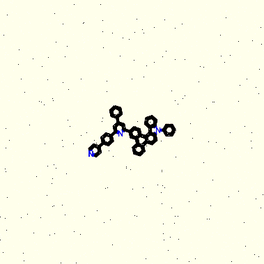 c1ccc(-c2cc(-c3ccc(-c4ccncc4)cc3)nc(-c3ccc4c(c3)c3ccccc3c3ccc5c(c6ccccc6n5-c5ccccc5)c34)c2)cc1